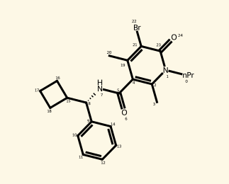 CCCn1c(C)c(C(=O)N[C@H](c2ccccc2)C2CCC2)c(C)c(Br)c1=O